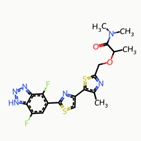 Cc1nc(COC(C)C(=O)N(C)C)sc1-c1csc(-c2cc(F)c3[nH]nnc3c2F)n1